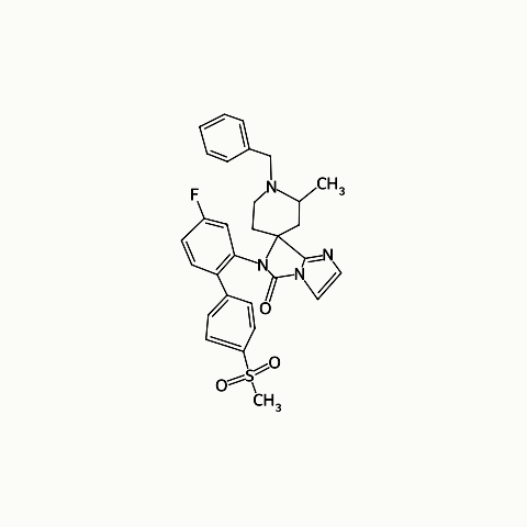 CC1CC2(CCN1Cc1ccccc1)c1nccn1C(=O)N2c1cc(F)ccc1-c1ccc(S(C)(=O)=O)cc1